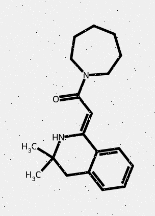 CC1(C)Cc2ccccc2C(=CC(=O)N2CCCCCC2)N1